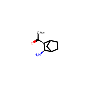 COC(=O)[C@H]1C2CCC(C2)[C@H]1N